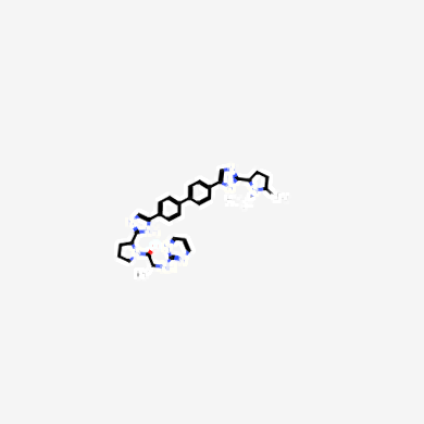 CC(C)[C@@H](Nc1ncccn1)C(=O)N1CCCC1c1ncc(-c2ccc(-c3ccc(-c4cnc(C5CCC(C(C)(C)C)N5C(=O)O)[nH]4)cc3)cc2)[nH]1